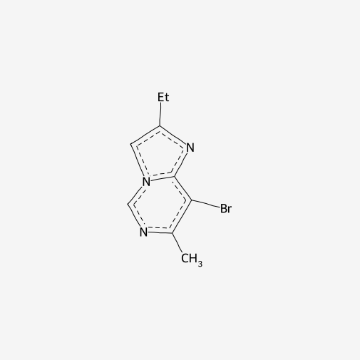 CCc1cn2cnc(C)c(Br)c2n1